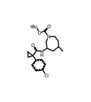 CC1CCN(C(=O)OC(C)(C)C)CC(NC(=O)C2(c3ccc(Cl)cc3)CC2)C1